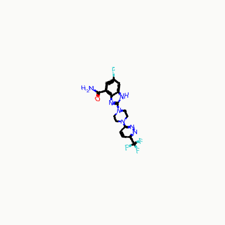 NC(=O)c1cc(F)cc2[nH]c(N3CCN(c4ccc(C(F)(F)F)nn4)CC3)nc12